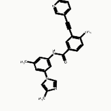 Cc1cc(NC(=O)c2ccc(C)c(C#Cc3cccnc3)c2)cc(-n2cnc(C)c2)c1